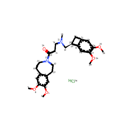 COc1cc2c(cc1OC)CCN(C(=O)CCN(C)C[C@H]1Cc3cc(OC)c(OC)cc31)CC2.Cl